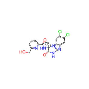 O=C(NC1(C(F)(F)F)C(=O)Nc2nc3cc(Cl)c(Cl)cc3n21)c1cccc(CO)n1